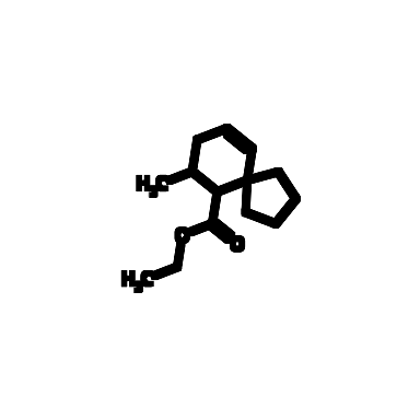 CCOC(=O)C1C(C)CC=CC12CCCC2